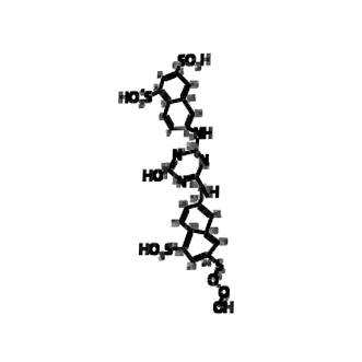 O=S(=O)(O)c1cc(S(=O)(=O)O)c2ccc(Nc3nc(O)nc(Nc4ccc5c(S(=O)(=O)O)cc(SOOO)cc5c4)n3)cc2c1